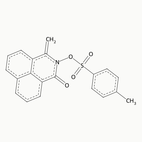 C=c1c2cccc3cccc(c(=O)n1OS(=O)(=O)c1ccc(C)cc1)c32